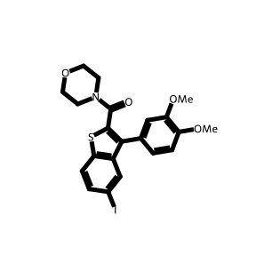 COc1ccc(-c2c(C(=O)N3CCOCC3)sc3ccc(I)cc23)cc1OC